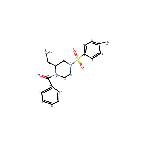 COC[C@H]1CN(S(=O)(=O)c2ccc(C#N)cc2)CCN1C(=O)c1ccccc1